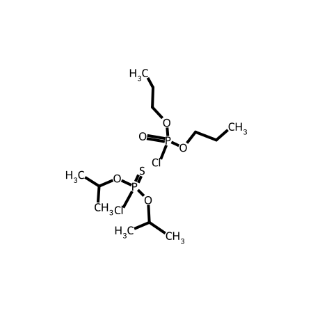 CC(C)OP(=S)(Cl)OC(C)C.CCCOP(=O)(Cl)OCCC